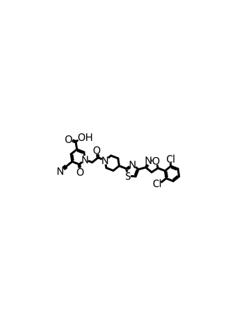 N#Cc1cc(C(=O)O)cn(CC(=O)N2CCC(c3nc(C4=NOC(c5c(Cl)cccc5Cl)C4)cs3)CC2)c1=O